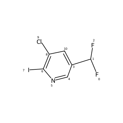 FC(F)c1cnc(I)c(Cl)c1